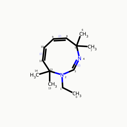 CCN1/C=N\C(C)(C)/C=C\C=C/C1(C)C